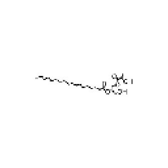 CCCCCCCCCCCCCCCCCC(=O)OC(CO)COC(=O)C(C)O